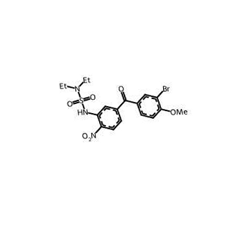 CCN(CC)S(=O)(=O)Nc1cc(C(=O)c2ccc(OC)c(Br)c2)ccc1[N+](=O)[O-]